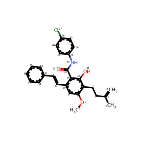 C=C(C)CCc1c(OC)cc(C=Cc2ccccc2)c(C(=O)Nc2ccc(Cl)cc2)c1O